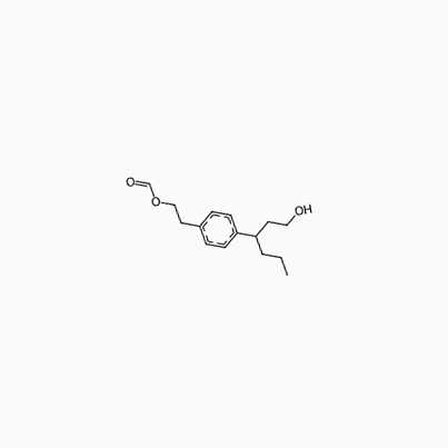 CCCC(CCO)c1ccc(CCOC=O)cc1